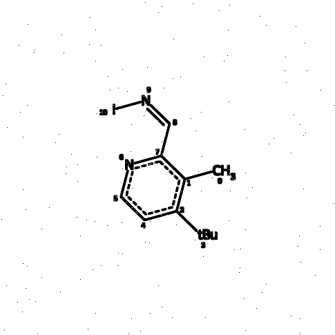 Cc1c(C(C)(C)C)ccnc1/C=N\I